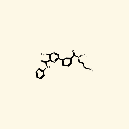 COCCN(C)C(=O)c1cccc(-c2cnc(N)c(C(=O)Nc3ccccc3)n2)c1